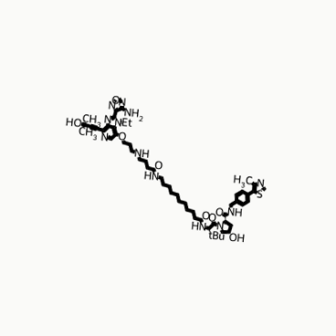 CCn1c(-c2nonc2N)nc2c(C#CC(C)(C)O)ncc(OCCCNCCCC(=O)NCCCCCCCCCCC(=O)N[C@H](C(=O)N3C[C@H](O)C[C@H]3C(=O)NCc3ccc(-c4scnc4C)cc3)C(C)(C)C)c21